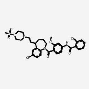 COc1cc(NC(=O)c2ccccc2Cl)ccc1C(=O)N1CCCC(CCN2CCN(S(C)(=O)=O)CC2)c2cc(Cl)ccc21